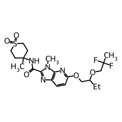 CCC(COc1ccc2nc(C(=O)NC3(C)CCS(=O)(=O)CC3)n(C)c2n1)OCC(C)(F)F